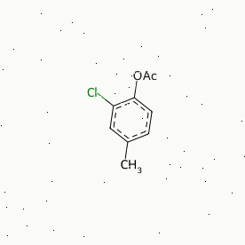 CC(=O)Oc1ccc(C)cc1Cl